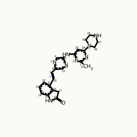 Cc1nc(Nc2cnc(/C=C/c3cccc4c3CC(=O)N4)cn2)cc(N2CCNCC2)n1